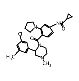 Cc1cc(Cl)cc(C2CN(C)CCN2C(=O)c2ccc(NC(=O)C3CC3)cc2N2CCCC2)c1